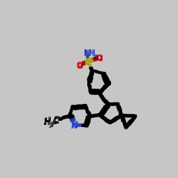 Cc1ccc(C2=C(c3ccc(S(N)(=O)=O)cc3)CC3(CC3)C2)cn1